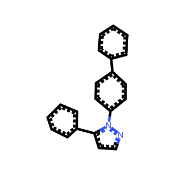 c1ccc(-c2ccc(-n3nccc3-c3ccccc3)cc2)cc1